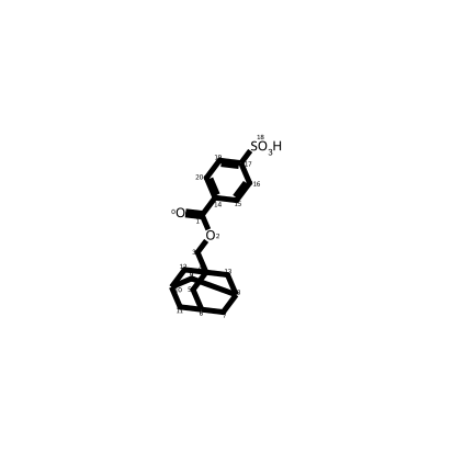 O=C(OCC12CC3CC(CC(C3)C1)C2)c1ccc(S(=O)(=O)O)cc1